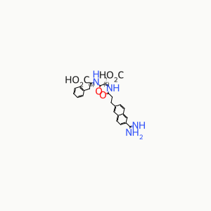 N=C(N)c1ccc2cc(CCC(=O)N[C@@H](CC(=O)O)C(=O)N[C@@H](Cc3ccccc3)C(=O)O)ccc2c1